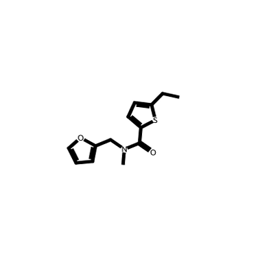 CCc1ccc(C(=O)N(C)Cc2ccco2)s1